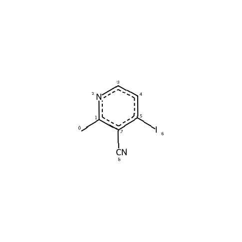 Cc1nccc(I)c1C#N